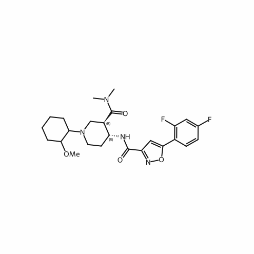 COC1CCCCC1N1CC[C@@H](NC(=O)c2cc(-c3ccc(F)cc3F)on2)[C@H](C(=O)N(C)C)C1